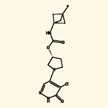 O=C(NC12CC(F)(C1)C2)O[C@@H]1CCN(c2cn[nH]c(=O)c2Cl)C1